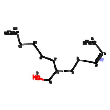 CCCCC/C=C\CCC(CO)CCCCCCCCCCCCCC